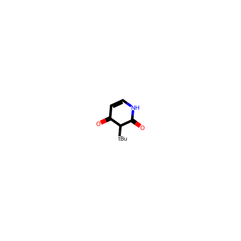 CC(C)(C)C1C(=O)C=CNC1=O